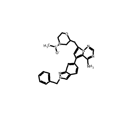 C[S+]([O-])N1CCOC(Cc2cc(-c3ccc4cn(Cc5ccccc5)nc4c3)c3c(N)ncnn23)C1